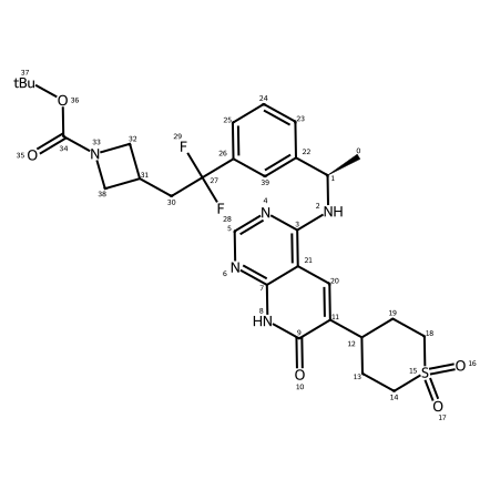 C[C@@H](Nc1ncnc2[nH]c(=O)c(C3CCS(=O)(=O)CC3)cc12)c1cccc(C(F)(F)CC2CN(C(=O)OC(C)(C)C)C2)c1